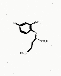 O=C(O)CC[C@H](Oc1ccc(Br)cc1[N+](=O)[O-])C(=O)O